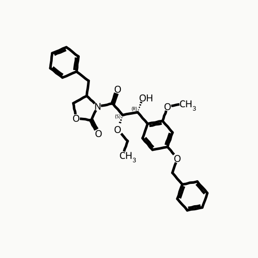 CCO[C@H](C(=O)N1C(=O)OCC1Cc1ccccc1)[C@H](O)c1ccc(OCc2ccccc2)cc1OC